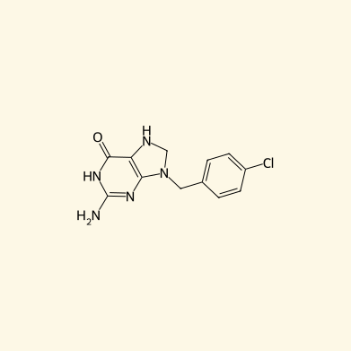 Nc1nc2c(c(=O)[nH]1)NCN2Cc1ccc(Cl)cc1